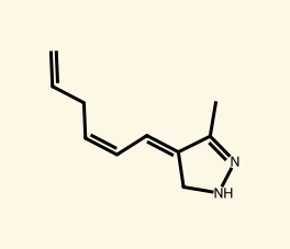 C=CC/C=C\C=C1/CNN=C1C